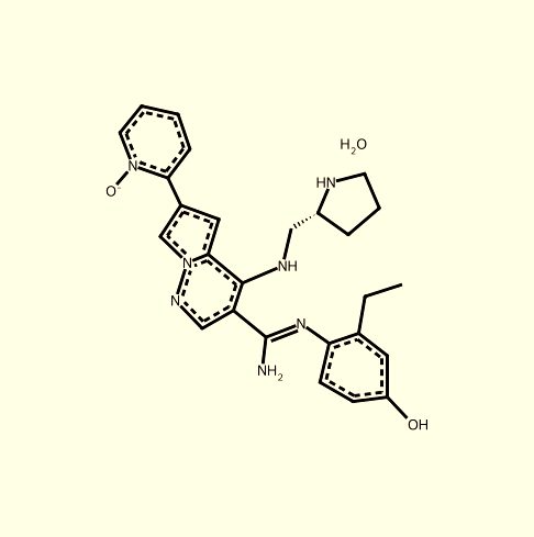 CCc1cc(O)ccc1N=C(N)c1cnn2cc(-c3cccc[n+]3[O-])cc2c1NC[C@H]1CCCN1.O